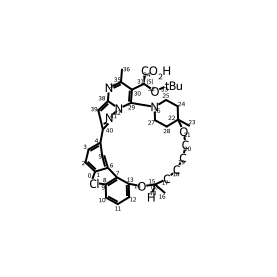 Cc1ccc2cc1-c1c(Cl)cccc1O[C@@H](C)CCCCOC1(C)CCN(CC1)c1c([C@H](OC(C)(C)C)C(=O)O)c(C)nc3cc-2nn13